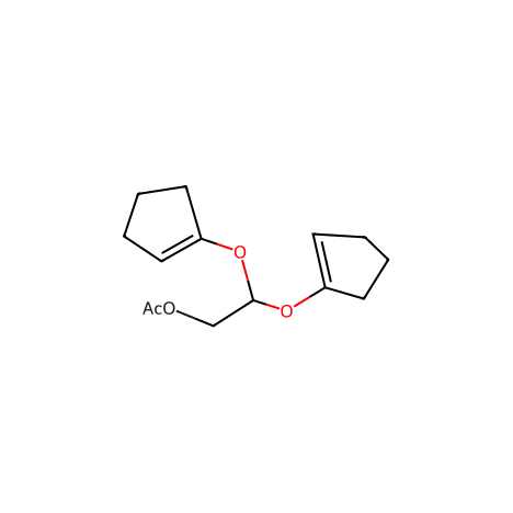 CC(=O)OCC(OC1=CCCC1)OC1=CCCC1